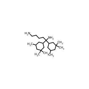 CC1CC(C(N)(CCCCN)C2CC(C)CC(C)(C)C2)CC(C)(C)C1